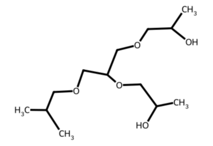 CC(C)COCC(COCC(C)O)OCC(C)O